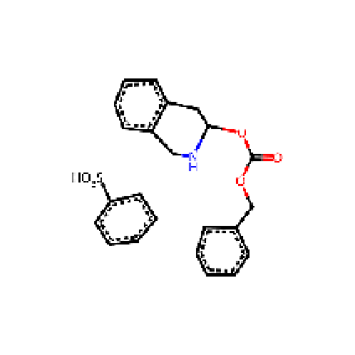 O=C(OCc1ccccc1)OC1Cc2ccccc2CN1.O=S(=O)(O)c1ccccc1